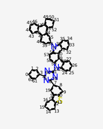 c1ccc(-c2nc(-c3ccc4sc5ccccc5c4c3)nc(-n3c4ccccc4c4c5c6ccccc6n(-c6ccc7c8ccccc8c8ccccc8c7c6)c5ccc43)n2)cc1